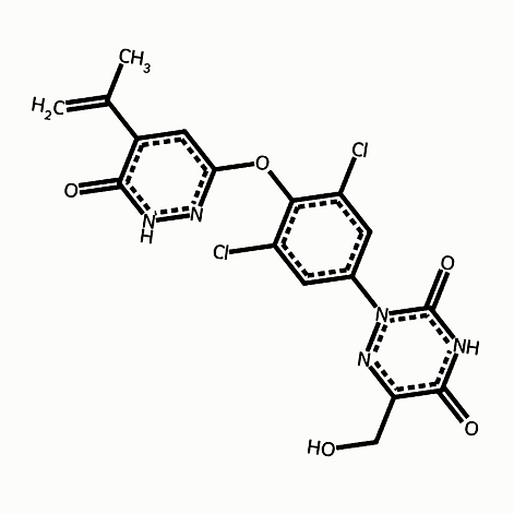 C=C(C)c1cc(Oc2c(Cl)cc(-n3nc(CO)c(=O)[nH]c3=O)cc2Cl)n[nH]c1=O